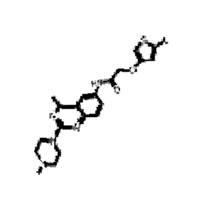 Cc1nc(N2CCN(C)CC2)nc2ccc(NC(=O)COc3csc(Cl)c3)cc12